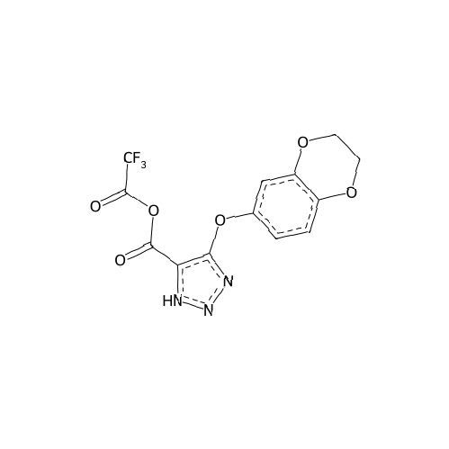 O=C(OC(=O)C(F)(F)F)c1[nH]nnc1Oc1ccc2c(c1)OCCO2